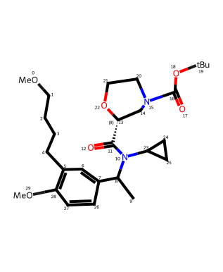 COCCCCc1cc(C(C)N(C(=O)[C@H]2CN(C(=O)OC(C)(C)C)CCO2)C2CC2)ccc1OC